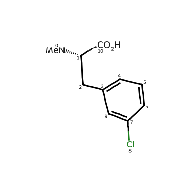 CN[C@@H](Cc1cccc(Cl)c1)C(=O)O